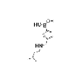 CC(C)CCNCc1ccc(B(O)O)s1